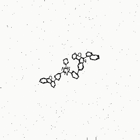 c1ccc(-c2nc(-c3ccc(-c4cccc5c4oc4ccccc45)cc3)nc(-c3cccc(-c4ccc5nc(-c6cccc7ccccc67)c6oc7ccccc7c6c5c4)c3)n2)cc1